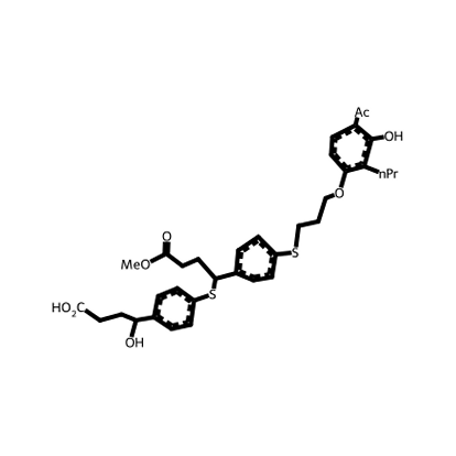 CCCc1c(OCCCSc2ccc(C(CCC(=O)OC)Sc3ccc(C(O)CCC(=O)O)cc3)cc2)ccc(C(C)=O)c1O